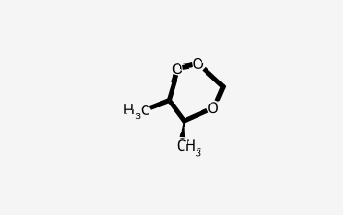 CC1OOCO[C@H]1C